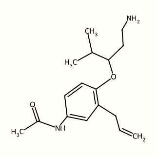 C=CCc1cc(NC(C)=O)ccc1OC(CCN)C(C)C